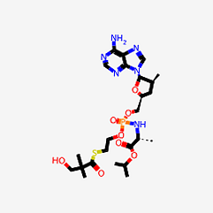 CC(C)OC(=O)[C@@H](C)NP(=O)(OCCSC(=O)C(C)(C)CO)OC[C@@H]1C[C@H](C)[C@H](n2cnc3c(N)ncnc32)O1